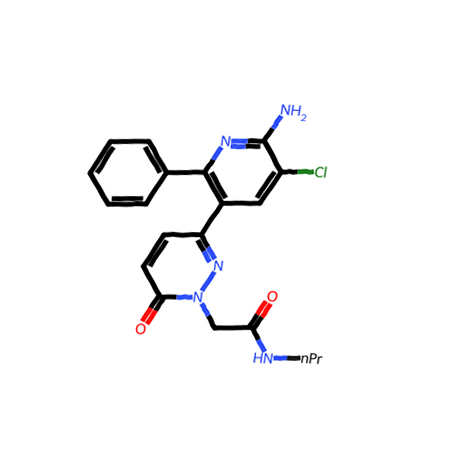 CCCNC(=O)Cn1nc(-c2cc(Cl)c(N)nc2-c2ccccc2)ccc1=O